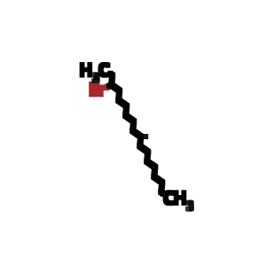 CCCCCCCC[CH]CCCCCCC(Br)CC